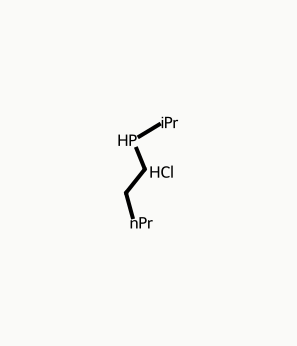 CCCCCPC(C)C.Cl